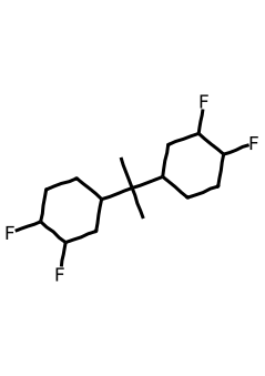 CC(C)(C1CCC(F)C(F)C1)C1CCC(F)C(F)C1